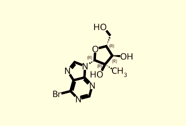 C[C@@]1(O)[C@H](O)[C@@H](CO)O[C@H]1n1cnc2c(Br)ncnc21